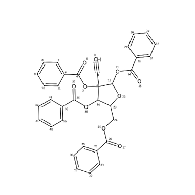 C#CC1(OC(=O)c2ccccc2)C(OC(=O)c2ccccc2)OC(COC(=O)c2ccccc2)C1OC(=O)c1ccccc1